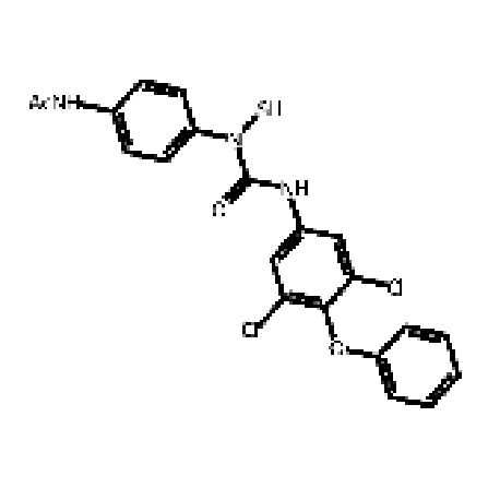 CC(=O)Nc1ccc(N(S)C(=O)Nc2cc(Cl)c(Oc3ccccc3)c(Cl)c2)cc1